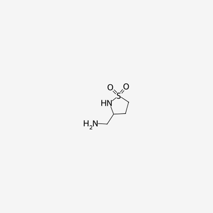 NCC1CCS(=O)(=O)N1